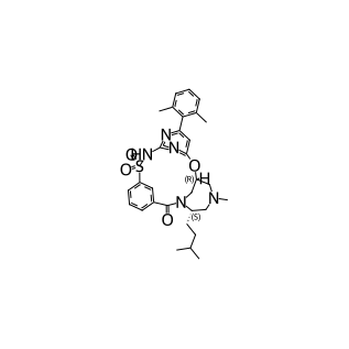 Cc1cccc(C)c1-c1cc2nc(n1)NS(=O)(=O)c1cccc(c1)C(=O)N1C[C@@H](CN(C)C[C@@H]1CCC(C)C)O2